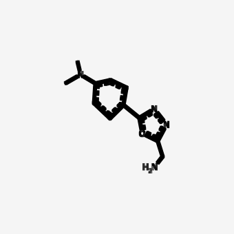 CN(C)c1ccc(-c2nnc(CN)o2)cc1